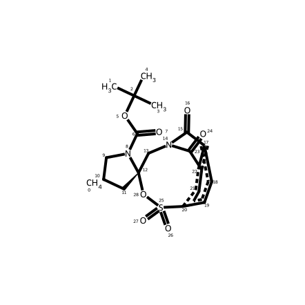 C.CC(C)(C)OC(=O)N1CCC[C@]12CN1C(=O)c3ccc(cc3C1=O)S(=O)(=O)O2